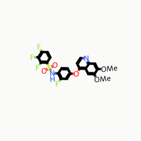 COc1cc2nccc(Oc3ccc(NS(=O)(=O)c4ccc(F)c(F)c4F)c(F)c3)c2cc1OC